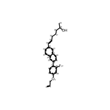 C=CCOc1ccc(-c2ccc3cc(C=CCCCC(C)O)ccc3c2)c(F)c1